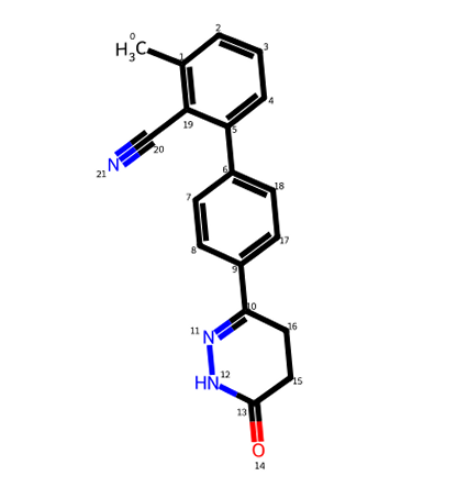 Cc1cccc(-c2ccc(C3=NNC(=O)CC3)cc2)c1C#N